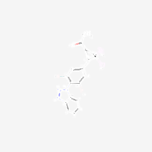 CC(=O)C1C(c2cc(F)c(-n3nnc4ccccc43)c(F)c2)C1(Cl)Cl